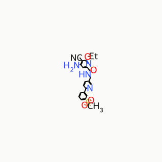 CCOc1nc(C(=O)NCc2ccc(-c3cccc(S(C)(=O)=O)c3)nc2)cc(N)c1C#N